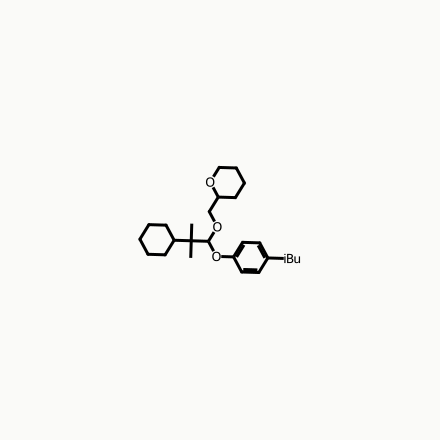 CCC(C)c1ccc(OC(OCC2CCCCO2)C(C)(C)C2CCCCC2)cc1